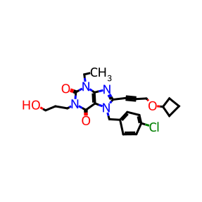 CCn1c(=O)n(CCCO)c(=O)c2c1nc(C#CCOC1CCC1)n2Cc1ccc(Cl)cc1